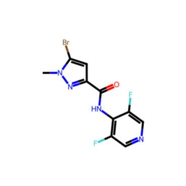 Cn1nc(C(=O)Nc2c(F)cncc2F)cc1Br